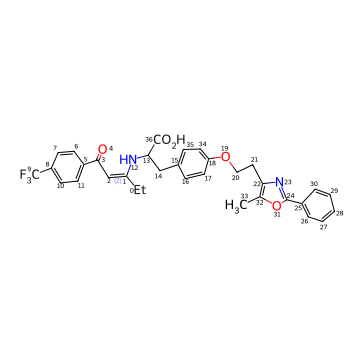 CC/C(=C/C(=O)c1ccc(C(F)(F)F)cc1)NC(Cc1ccc(OCCc2nc(-c3ccccc3)oc2C)cc1)C(=O)O